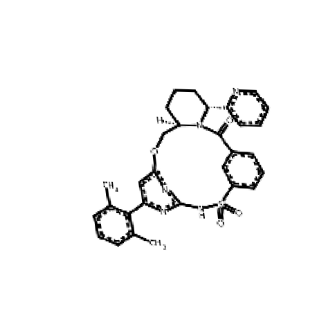 Cc1cccc(C)c1-c1cc2nc(n1)NS(=O)(=O)c1cccc(c1)C(=O)N1[C@H](CCC[C@@H]1c1ccccn1)CO2